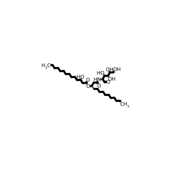 CCCCCCCCCCC[C@@H](O)CC(=O)O[C@H](CCCCCCCCCCC)CC(=O)N[C@H](C=O)[C@@H](O)[C@H](O)[C@H](O)CO